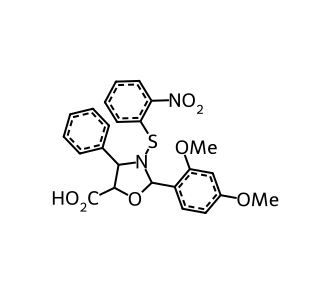 COc1ccc(C2OC(C(=O)O)C(c3ccccc3)N2Sc2ccccc2[N+](=O)[O-])c(OC)c1